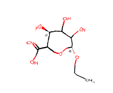 CCO[C@@H]1OC(C(=O)O)[C@@H](O)C(O)C1O